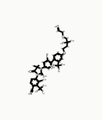 CC1(C)C(=O)N(c2ccc(C#N)c(C(F)(F)F)c2F)C(=S)N1c1cnc(-c2ccc(OCCC(F)(F)COCC=O)cc2C(F)(F)F)c(F)c1